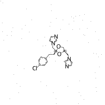 Clc1ccc(CC[C@@]2(Cn3ccnc3)OC[C@@H](Cn3ccnc3)O2)cc1